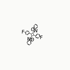 Fc1ccc(C2C(c3nc4ccccc4o3)C(c3ccc(F)cc3)C2c2nc3ccccc3o2)cc1